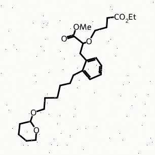 CCOC(=O)CCCOC(Cc1ccccc1CCCCCCOC1CCCCO1)C(=O)OC